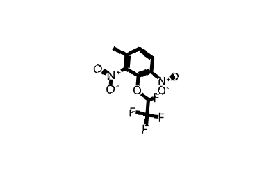 Cc1ccc([N+](=O)[O-])c(OC(F)C(F)(F)F)c1[N+](=O)[O-]